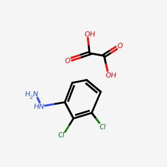 NNc1cccc(Cl)c1Cl.O=C(O)C(=O)O